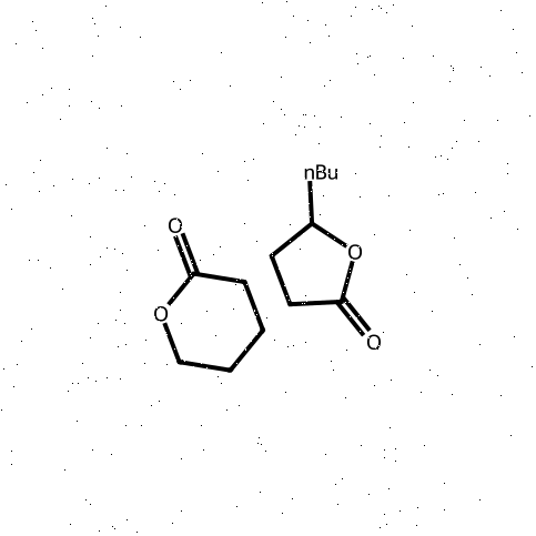 CCCCC1CCC(=O)O1.O=C1CCCCO1